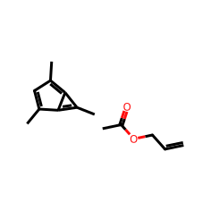 C=CCOC(C)=O.Cc1cc(C)c2c(C)c1-2